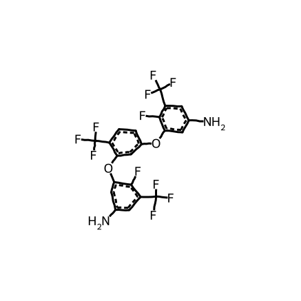 Nc1cc(Oc2ccc(C(F)(F)F)c(Oc3cc(N)cc(C(F)(F)F)c3F)c2)c(F)c(C(F)(F)F)c1